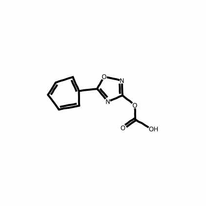 O=C(O)Oc1noc(-c2ccccc2)n1